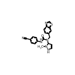 CN1NC=CC1N(Cc1ccc2ncsc2c1)C(=O)Nc1ccc(C#N)cc1